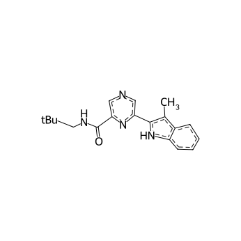 Cc1c(-c2cncc(C(=O)NCC(C)(C)C)n2)[nH]c2ccccc12